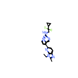 CCn1c(C)nc2ccc(-c3ccn4nc(NCC(F)(F)C5CC5)ncc34)nc21